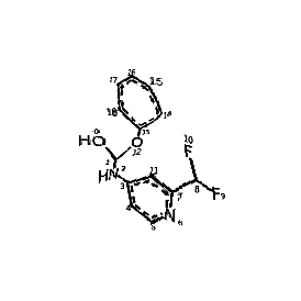 OC(Nc1ccnc(C(F)F)c1)Oc1ccccc1